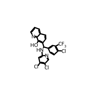 Oc1c(C(Nc2cc(Cl)c(Cl)cn2)c2ccc(Cl)c(C(F)(F)F)c2)ccc2cccnc12